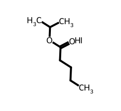 CCCCC(=O)OC(C)C.I